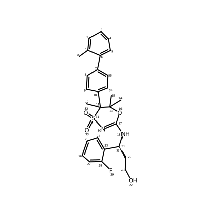 Cc1ccccc1-c1ccc(C2(C)C(C)(C)OC(N[C@@H](CCO)c3ccccc3F)=NS2(=O)=O)cc1